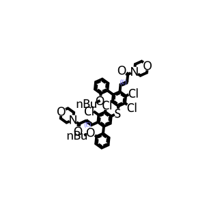 CCCCOc1ccccc1-c1cc(Sc2cc(-c3ccccc3OCCCC)c(/C=C/C(=O)N3CCOCC3)c(Cl)c2Cl)c(Cl)c(Cl)c1/C=C/C(=O)N1CCOCC1